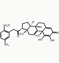 Cc1ccc(S(=O)(=O)O)c(CC(=O)[C@H]2CC[C@H]3[C@@H]4CCC5=CC(=O)C(O)=C(O)[C@]5(C)C4=CC[C@]23C)c1